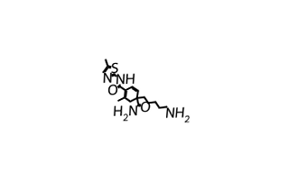 CC1=C(C(=O)Nc2ncc(C)s2)C=CC(CCCCCN)(C(N)=O)C1